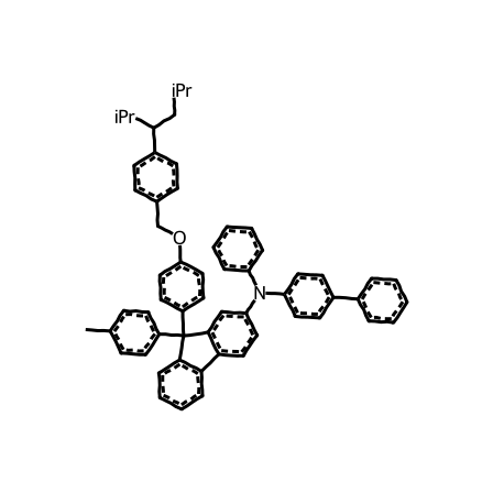 Cc1ccc(C2(c3ccc(OCc4ccc(C(CC(C)C)C(C)C)cc4)cc3)c3ccccc3-c3ccc(N(c4ccccc4)c4ccc(-c5ccccc5)cc4)cc32)cc1